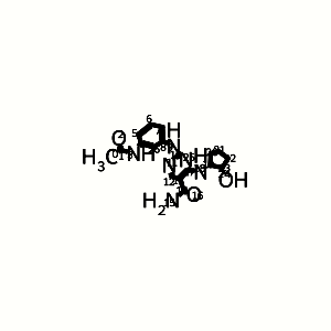 CC(=O)Nc1cccc(Nc2ncc(C(N)=O)c(N[C@@H]3CCC[C@H]3O)n2)c1